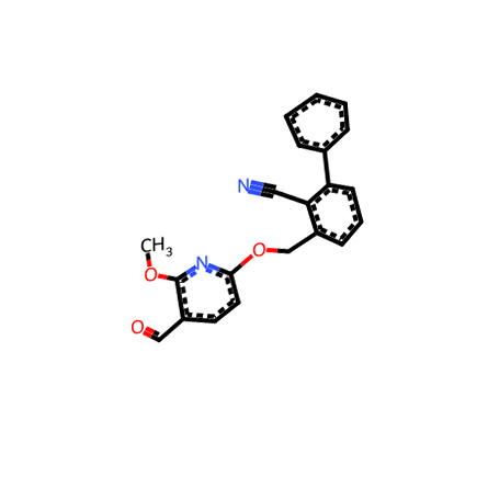 COc1nc(OCc2cccc(-c3ccccc3)c2C#N)ccc1C=O